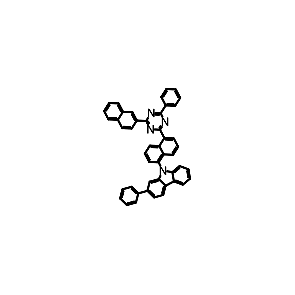 c1ccc(-c2ccc3c4ccccc4n(-c4cccc5c(-c6nc(-c7ccccc7)nc(-c7ccc8ccccc8c7)n6)cccc45)c3c2)cc1